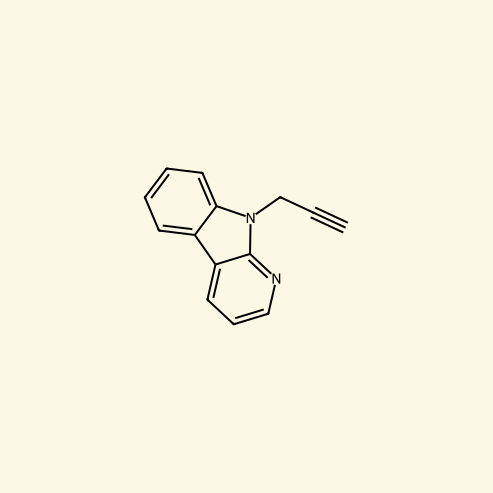 C#CCn1c2ccccc2c2cccnc21